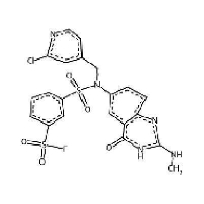 CNc1nc2ccc(N(Cc3ccnc(Cl)c3)S(=O)(=O)c3cccc(S(=O)(=O)F)c3)cc2c(=O)[nH]1